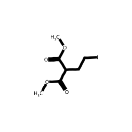 COC(=O)C(CCI)C(=O)OC